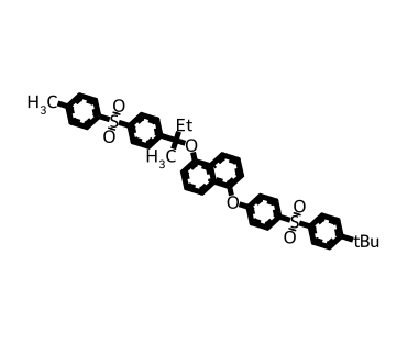 CCC(C)(Oc1cccc2c(Oc3ccc(S(=O)(=O)c4ccc(C(C)(C)C)cc4)cc3)cccc12)c1ccc(S(=O)(=O)c2ccc(C)cc2)cc1